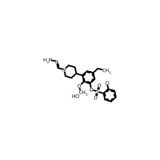 CCc1cc(OS(=O)(=O)c2ccccc2Cl)c(OC)c(C2CCN(C=NN)CC2)c1.Cl